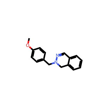 COc1ccc(CN2Cc3ccccc3C=N2)cc1